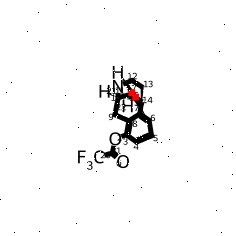 O=C(Oc1cccc2c1C[C@H]1NCC[C@@]23CCCC[C@@H]13)C(F)(F)F